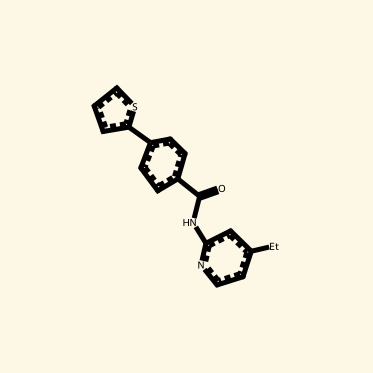 CCc1ccnc(NC(=O)c2ccc(-c3cccs3)cc2)c1